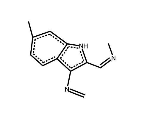 C=Nc1c(/C=N\C)[nH]c2cc(C)ccc12